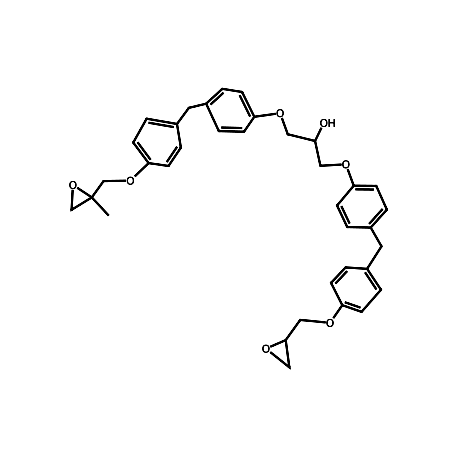 CC1(COc2ccc(Cc3ccc(OCC(O)COc4ccc(Cc5ccc(OCC6CO6)cc5)cc4)cc3)cc2)CO1